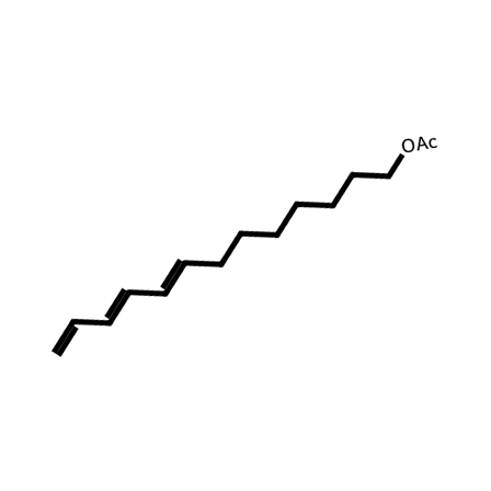 C=CC=CC=CCCCCCCCOC(C)=O